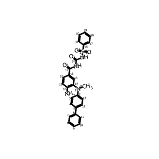 CN(c1ccc(-c2ccccc2)cc1)c1cc(C(=O)NC(=O)NS(=O)(=O)c2ccccc2)ccc1N